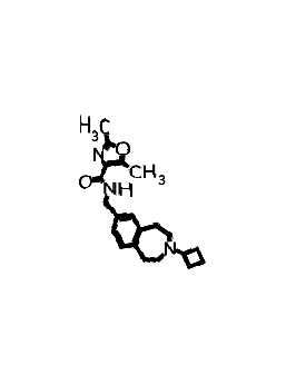 Cc1nc(C(=O)NCc2ccc3c(c2)CCN(C2CCC2)CC3)c(C)o1